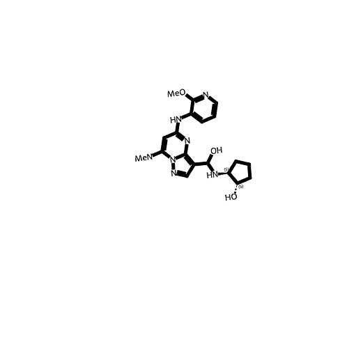 CNc1cc(Nc2cccnc2OC)nc2c(C(O)N[C@H]3CCC[C@@H]3O)cnn12